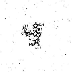 CCOC(=O)c1cnn(-c2nc(N[C@@H]3CCC[C@H]3O)c3ncn([C@@H]4O[C@H](CO)C(O)C4O)c3n2)c1